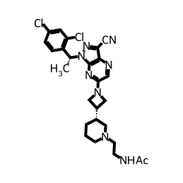 CC(=O)NCCN1CCC[C@H](C2CN(c3cnc4c(C#N)nn([C@H](C)c5ccc(Cl)cc5Cl)c4n3)C2)C1